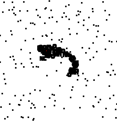 N#Cc1cccc2[nH]c(-c3ccccc3OC3(C(F)(F)F)CCN(C(=O)[C@H]4CC(=O)Nc5cc(OCCNCC6CCN(c7cc(C8CCC(=O)NC8=O)ccn7)CC6)ccc54)CC3)cc12